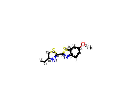 [2H]Oc1ccc2nc(C3=NC(CC)CS3)sc2c1